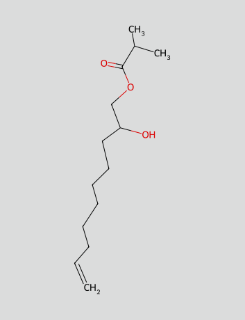 C=CCCCCCCC(O)COC(=O)C(C)C